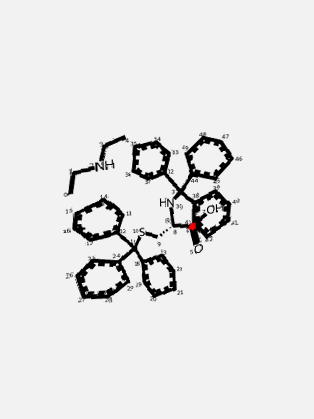 CCNCC.O=C(O)[C@H](CSC(c1ccccc1)(c1ccccc1)c1ccccc1)NC(c1ccccc1)(c1ccccc1)c1ccccc1